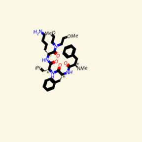 CN[C@H](Cc1ccccc1)C(=O)N[C@H](Cc1ccccc1)C(=O)N[C@H](CC(C)C)C(=O)N[C@H](CCCCN)C(=O)N(CCOC)CCOC